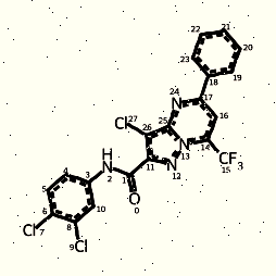 O=C(Nc1ccc(Cl)c(Cl)c1)c1nn2c(C(F)(F)F)cc(-c3ccccc3)nc2c1Cl